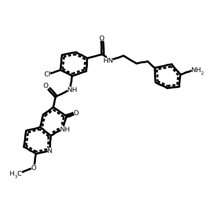 COc1ccc2cc(C(=O)Nc3cc(C(=O)NCCCc4cccc(N)c4)ccc3Cl)c(=O)[nH]c2n1